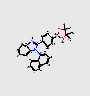 CC1(C)OB(c2ccc(-c3nc4ccccc4n3-c3cccc4ccccc34)cc2)OC1(C)C